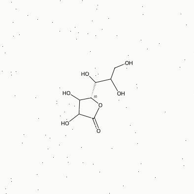 O=C1O[C@@H](C(O)C(O)CO)C(O)C1O